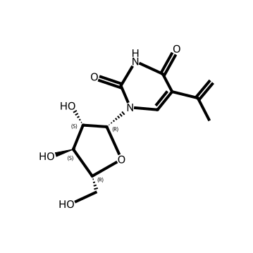 C=C(C)c1cn([C@@H]2O[C@H](CO)[C@@H](O)[C@@H]2O)c(=O)[nH]c1=O